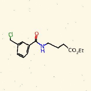 CCOC(=O)CCCNC(=O)c1cccc(CCl)c1